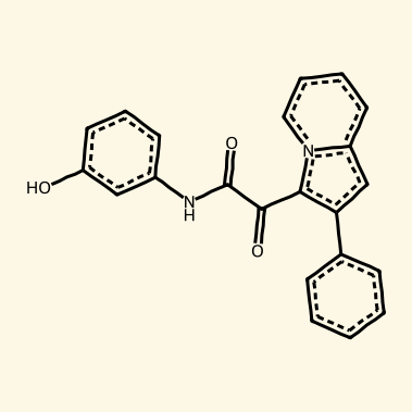 O=C(Nc1cccc(O)c1)C(=O)c1c(-c2ccccc2)cc2ccccn12